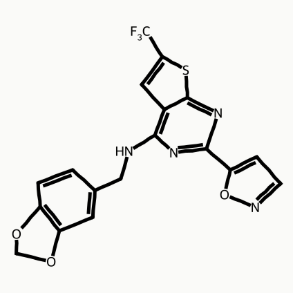 FC(F)(F)c1cc2c(NCc3ccc4c(c3)OCO4)nc(-c3ccno3)nc2s1